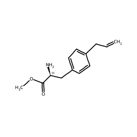 C=CCc1ccc(C[C@H](N)C(=O)OC)cc1